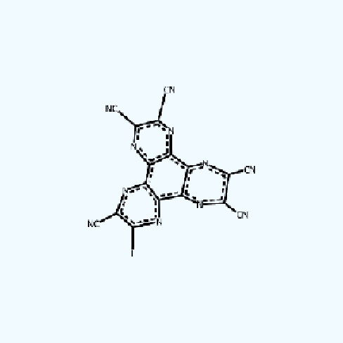 N#Cc1nc2c(nc1I)c1nc(C#N)c(C#N)nc1c1nc(C#N)c(C#N)nc21